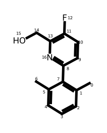 Cc1cccc(C)c1-c1ccc(F)c(CO)n1